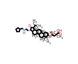 CC(C)C1=C2C(CC[C@]3(C)[C@@H]2CC[C@@H]2[C@@]4(C)CC[C@H](OC(=O)CC(C)(C)C(=O)O)C(C)(C)[C@@H]4CC[C@]23C)[C@H](CCNCC2CCCC2)C1=O